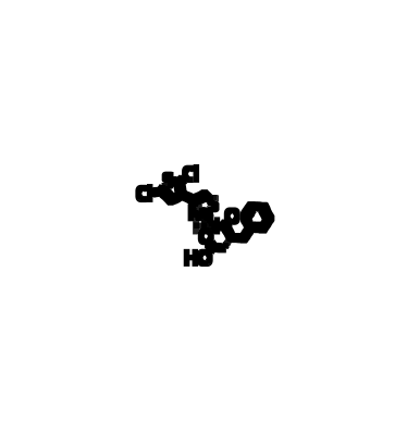 O=C(O)C[C@@H](Cc1ccccc1)C(=O)Nc1nc(-c2cc(Cl)sc2Cl)cs1